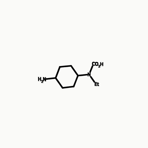 CCN(C(=O)O)C1CCC(N)CC1